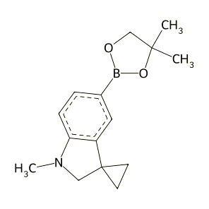 CN1CC2(CC2)c2cc(B3OCC(C)(C)O3)ccc21